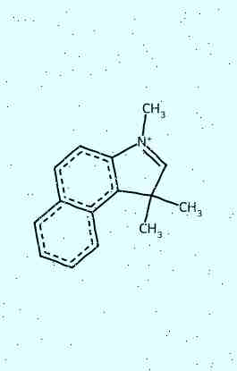 C[N+]1=CC(C)(C)c2c1ccc1ccccc21